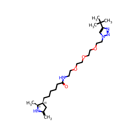 C=C1C[C@H](CCCCCC(=O)NCCOCCOCCOCCn2cc(C(C)(C)C)nn2)[C@H](C)N1